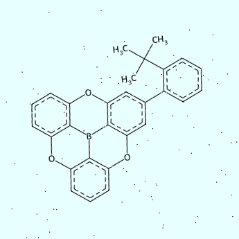 CC(C)(C)c1ccccc1-c1cc2c3c(c1)Oc1cccc4c1B3c1c(cccc1O2)O4